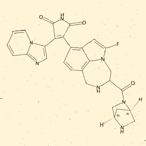 O=C1NC(=O)C(c2cnc3ccccn23)=C1c1ccc2c3c1cc(F)n3CC(C(=O)N1C[C@H]3C[C@@H]1CN3)NC2